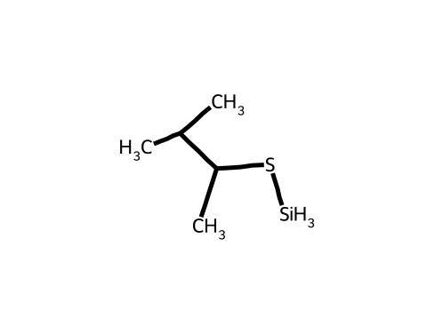 CC(C)C(C)S[SiH3]